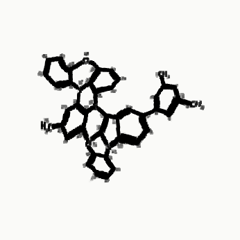 Cc1cc(C)cc(-c2ccc3c(c2)c2c4n(c5ccccc5n34)-c3cc(C)cc4c3B2c2cccc3c2N4c2ccccc2O3)c1